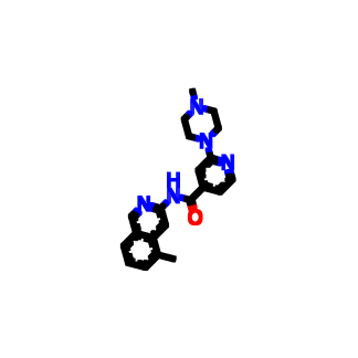 Cc1cccc2cnc(NC(=O)c3ccnc(N4CCN(C)CC4)c3)cc12